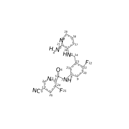 N#Cc1cnc(C(=O)Nc2ccc(F)c(CNc3cccnc3N)c2)c(F)c1